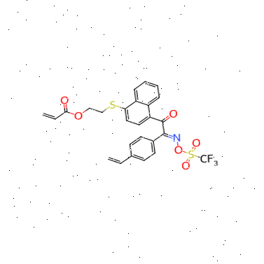 C=CC(=O)OCCSc1ccc(C(=O)/C(=N/OS(=O)(=O)C(F)(F)F)c2ccc(C=C)cc2)c2ccccc12